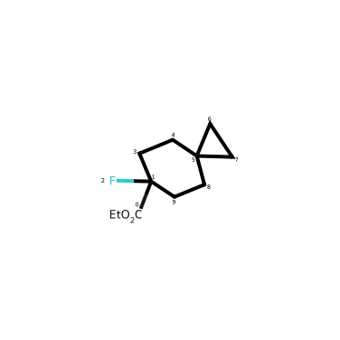 CCOC(=O)C1(F)CCC2(CC2)CC1